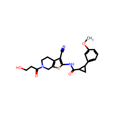 COc1cccc(C2CC2C(=O)Nc2sc3c(c2C#N)CCN(C(=O)CCO)C3)c1